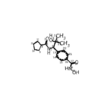 CC(C)(C)C(NC(=O)C1CCCC1)c1ccc(C(=O)NO)cc1